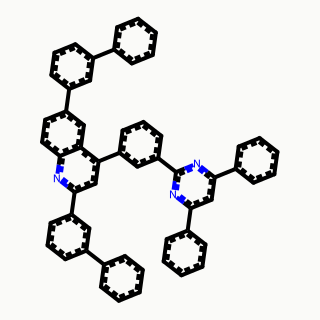 c1ccc(-c2cccc(-c3ccc4nc(-c5cccc(-c6ccccc6)c5)cc(-c5cccc(-c6nc(-c7ccccc7)cc(-c7ccccc7)n6)c5)c4c3)c2)cc1